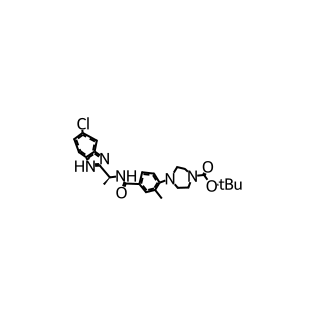 Cc1cc(C(=O)N[C@@H](C)c2nc3cc(Cl)ccc3[nH]2)ccc1N1CCN(C(=O)OC(C)(C)C)CC1